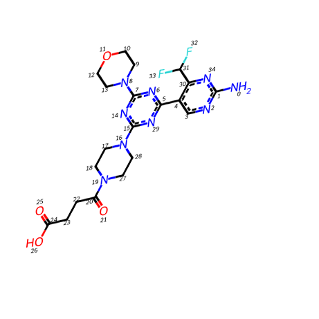 Nc1ncc(-c2nc(N3CCOCC3)nc(N3CCN(C(=O)CCC(=O)O)CC3)n2)c(C(F)F)n1